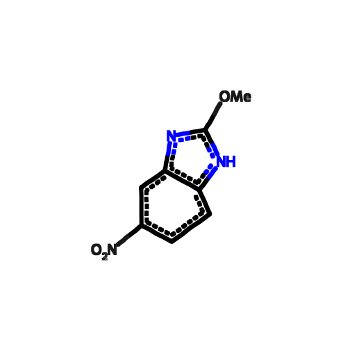 COc1nc2cc([N+](=O)[O-])ccc2[nH]1